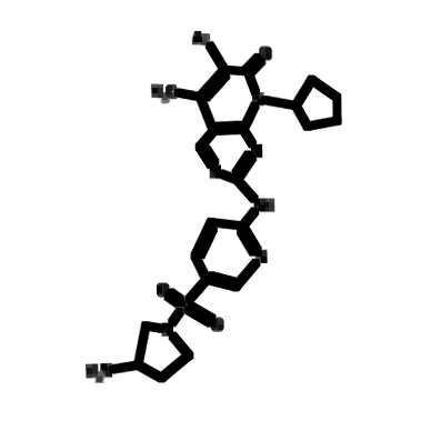 CC(=O)c1c(C)c2cnc(Nc3ccc(S(=O)(=O)N4CCC(N)C4)cn3)nc2n(C2CCCC2)c1=O